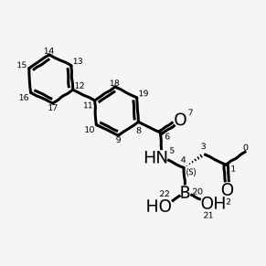 CC(=O)C[C@@H](NC(=O)c1ccc(-c2ccccc2)cc1)B(O)O